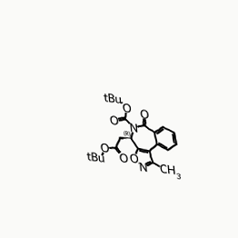 Cc1noc2c1-c1ccccc1C(=O)N(C(=O)OC(C)(C)C)[C@@H]2CC(=O)OC(C)(C)C